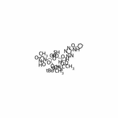 Cc1cn([C@H]2C[C@H](OP(=O)(S)OC[C@H]3O[C@@H](n4cnc5c(NC(=O)c6ccccc6)ncnc54)[C@@H]4OC(C)(C)O[C@@H]43)[C@@H](CO[Si](C)(C)C(C)(C)C)O2)c(=O)[nH]c1=O